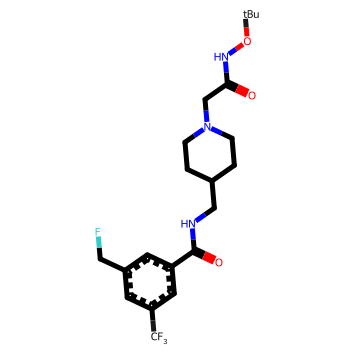 CC(C)(C)ONC(=O)CN1CCC(CNC(=O)c2cc(CF)cc(C(F)(F)F)c2)CC1